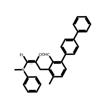 CC/C(=C(\Cl)Cc1c(C)ccc(-c2ccc(-c3ccccc3)cc2)c1C=O)N(C)c1ccccc1